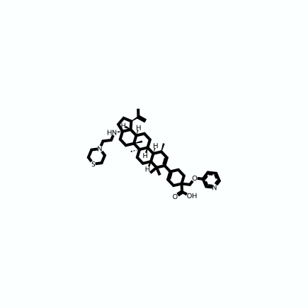 C=C(C)[C@@H]1CC[C@]2(NCCN3CCSCC3)CC[C@]3(C)[C@H](CC[C@@H]4[C@@H]5[C@@H](CC[C@]43C)C(C)(C)C(C3=CCC(COc4cccnc4)(C(=O)O)CC3)=C[C@@H]5C)[C@@H]12